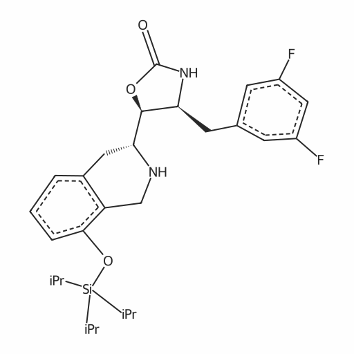 CC(C)[Si](Oc1cccc2c1CN[C@@H]([C@H]1OC(=O)N[C@H]1Cc1cc(F)cc(F)c1)C2)(C(C)C)C(C)C